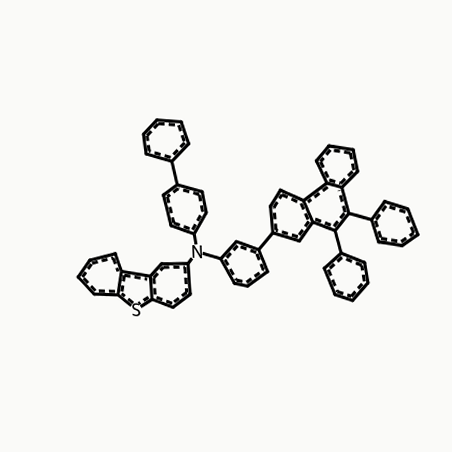 c1ccc(-c2ccc(N(c3cccc(-c4ccc5c(c4)c(-c4ccccc4)c(-c4ccccc4)c4ccccc45)c3)c3ccc4sc5ccccc5c4c3)cc2)cc1